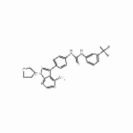 Nc1ncnc2c1c(-c1ccc(NC(=O)Nc3cccc(C(F)(F)F)c3)cc1)nn2[C@@H]1CCOC1